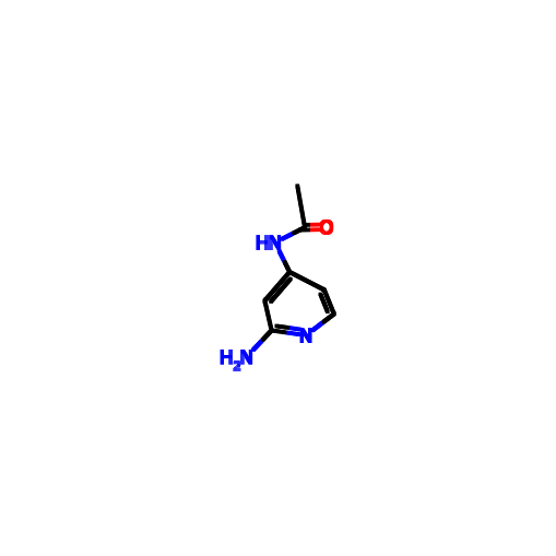 CC(=O)Nc1ccnc(N)c1